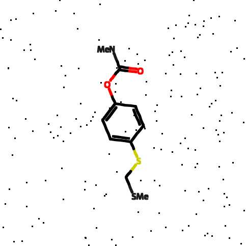 CNC(=O)Oc1ccc(SCSC)cc1